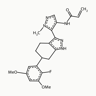 C=CC(=O)Nc1cnn(C)c1-c1n[nH]c2c1CCC(c1cc(OC)cc(OC)c1F)C2